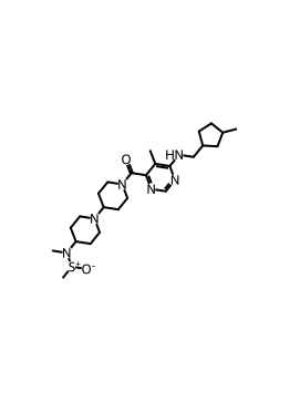 Cc1c(NCC2CCC(C)C2)ncnc1C(=O)N1CCC(N2CCC(N(C)[S+](C)[O-])CC2)CC1